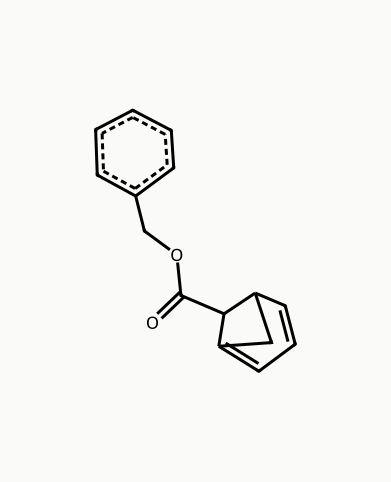 O=C(OCc1ccccc1)C1C2=CC=CC1C2